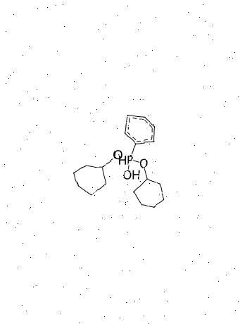 O[PH](OC1CCCCC1)(OC1CCCCC1)c1ccccc1